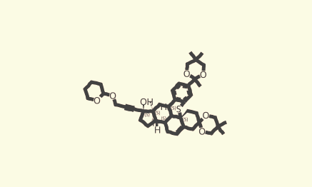 CC1(C)COC2(CC[C@@]34Sc5cc(C6(C)OCC(C)(C)CO6)ccc5[C@H]5C[C@@]6(C)[C@@H](CC[C@@]6(O)C#CCOC6CCCCO6)[C@H](CC=C3C2)C54)OC1